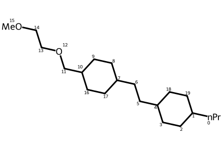 CCCC1CCC(CCC2CCC(COCCOC)CC2)CC1